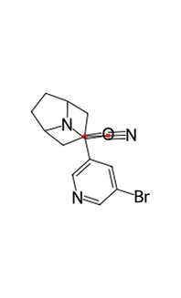 N#CC1(c2cncc(Br)c2)CC2CCC(C1)N2C=O